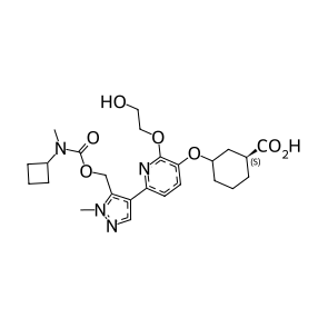 CN(C(=O)OCc1c(-c2ccc(OC3CCC[C@H](C(=O)O)C3)c(OCCO)n2)cnn1C)C1CCC1